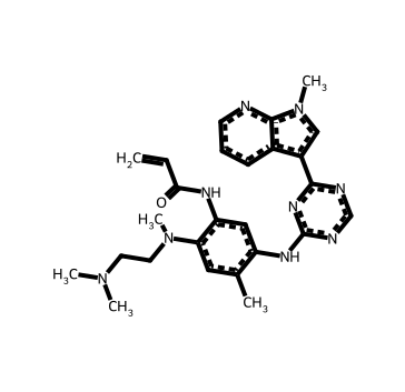 C=CC(=O)Nc1cc(Nc2ncnc(-c3cn(C)c4ncccc34)n2)c(C)cc1N(C)CCN(C)C